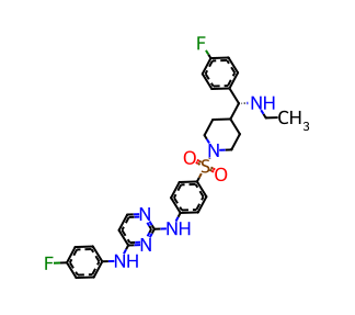 CCN[C@@H](c1ccc(F)cc1)C1CCN(S(=O)(=O)c2ccc(Nc3nccc(Nc4ccc(F)cc4)n3)cc2)CC1